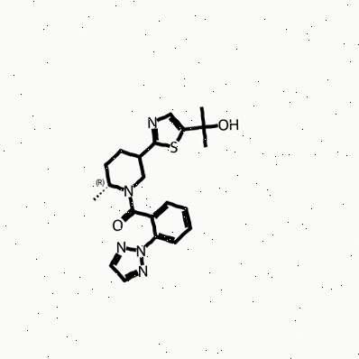 C[C@@H]1CCC(c2ncc(C(C)(C)O)s2)CN1C(=O)c1ccccc1-n1nccn1